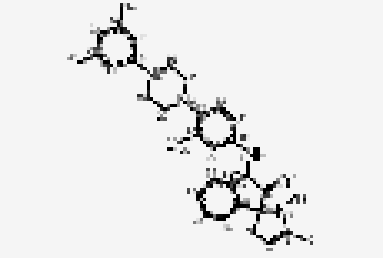 CC1=CCC(C(=O)C(=O)Nc2ccc(N3CCN(c4cc(C)cc(C)n4)CC3)c(Cl)c2)(c2ccccc2)N1C